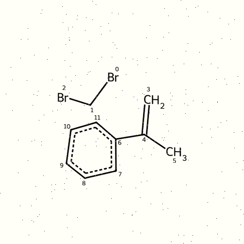 BrCBr.C=C(C)c1ccccc1